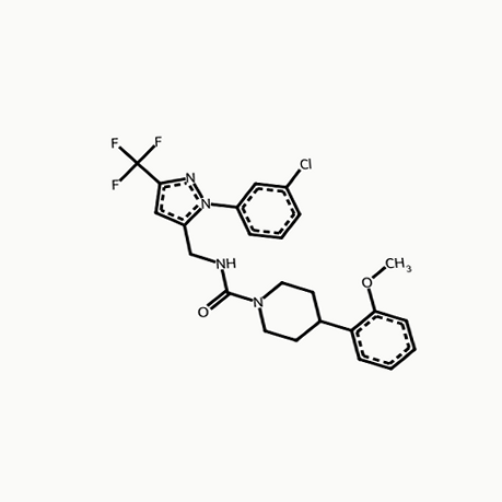 COc1ccccc1C1CCN(C(=O)NCc2cc(C(F)(F)F)nn2-c2cccc(Cl)c2)CC1